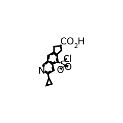 O=C(O)C1Cc2cc3cnc(C4CC4)cc3c(S(=O)(=O)Cl)c2C1